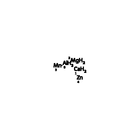 [AlH3].[CaH2].[MgH2].[Mn].[Zn]